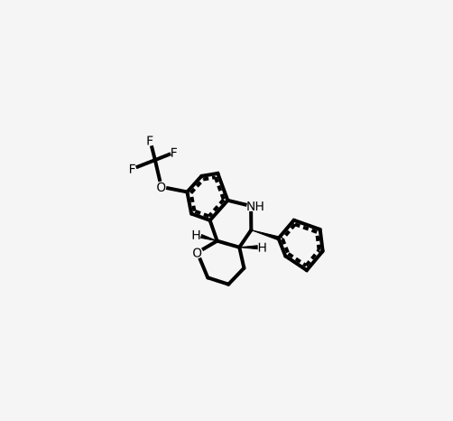 FC(F)(F)Oc1ccc2c(c1)[C@H]1OCCC[C@H]1[C@H](c1ccccc1)N2